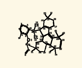 C=CCOc1c(C)cccc1[Si](CC)(CC)C1C2=C(CCC(C)(C)C2)C2=C3C(=C4CCC(C)(C)CC4C21)C(C)(C)C=CC3(C)C